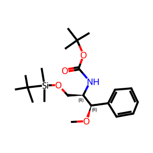 CO[C@H](c1ccccc1)[C@@H](CO[Si](C)(C)C(C)(C)C)NC(=O)OC(C)(C)C